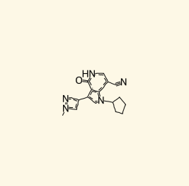 Cn1cc(-c2cn(C3CCCC3)c3c(C#N)c[nH]c(=O)c23)cn1